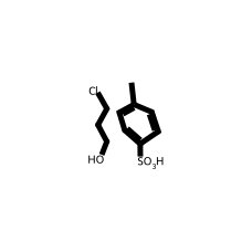 Cc1ccc(S(=O)(=O)O)cc1.OCCCCl